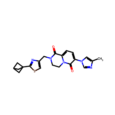 Cc1cn(-c2ccc3n(c2=O)CCN(Cc2csc(C45CC(C4)C5)n2)C3=O)cn1